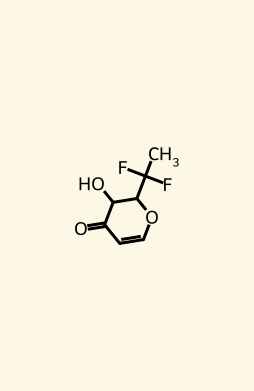 CC(F)(F)C1OC=CC(=O)C1O